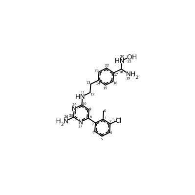 Cc1c(Cl)cccc1-c1cc(NCCc2ccc(C(N)NO)cc2)nc(N)n1